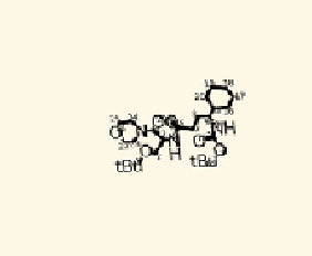 CC(C)(C)OCC(NC(=O)CC[C@H](NC(=O)OC(C)(C)C)C1CCCCC1)C(=O)N1CCOCC1